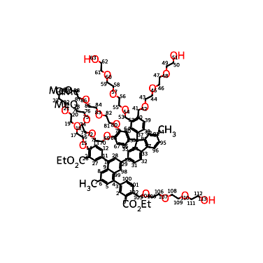 CCOC(=O)c1cc(-c2cc(C)cc3c(-c4ccc(OCCOCCOCCOC)c(C(=O)OCC)c4)cc(-c4ccc5c(c4)C(c4ccc(COCCOCCOCCO)c(COCCOCCOCCO)c4)(c4ccc(OCCOCCOCCOC)c(OCCOCCOCCOC)c4)c4cc(C)ccc4-5)cc23)ccc1COCCOCCOCCO